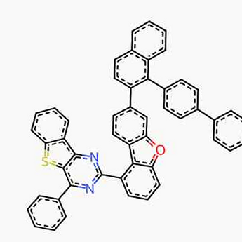 c1ccc(-c2ccc(-c3c(-c4ccc5c(c4)oc4cccc(-c6nc(-c7ccccc7)c7sc8ccccc8c7n6)c45)ccc4ccccc34)cc2)cc1